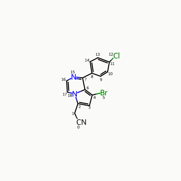 N#CCc1cc(Br)c2c(-c3ccc(Cl)cc3)nccn12